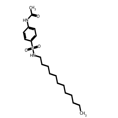 CCCCCCCCCCCCNS(=O)(=O)c1ccc(NC(C)=O)cc1